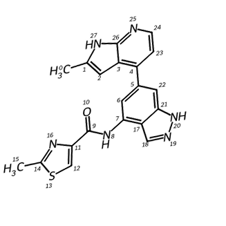 Cc1cc2c(-c3cc(NC(=O)c4csc(C)n4)c4cn[nH]c4c3)ccnc2[nH]1